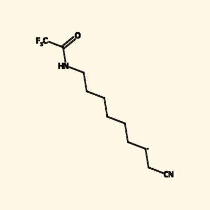 N#CC[CH]CCCCCCNC(=O)C(F)(F)F